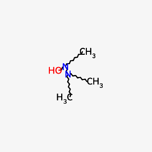 CCCCCCCCCN(CCO)CCN(CCCCCCCCC)CCCCCCCCC